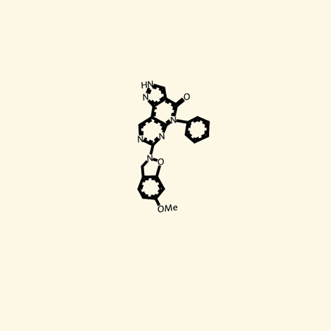 COc1ccc2c(c1)ON(c1ncc3c4n[nH]cc4c(=O)n(-c4ccccc4)c3n1)C2